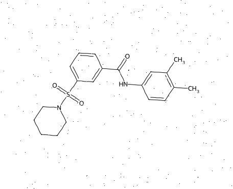 Cc1ccc(NC(=O)c2cccc(S(=O)(=O)N3CCCCC3)c2)cc1C